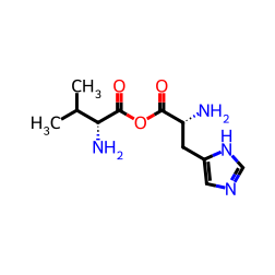 CC(C)[C@@H](N)C(=O)OC(=O)[C@H](N)Cc1cnc[nH]1